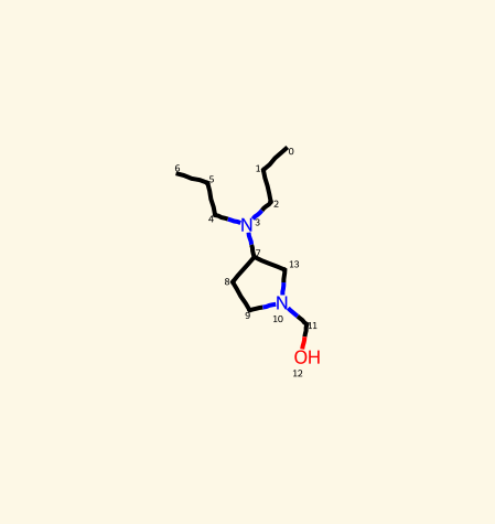 CCCN(CCC)C1CCN(CO)C1